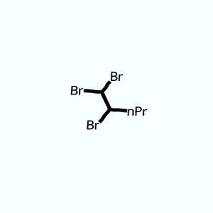 CCCC(Br)C(Br)Br